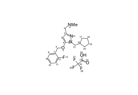 CNCc1cc(OCc2ccccc2F)n(CC2CCCC2)n1.O=C(O)C(F)(F)F